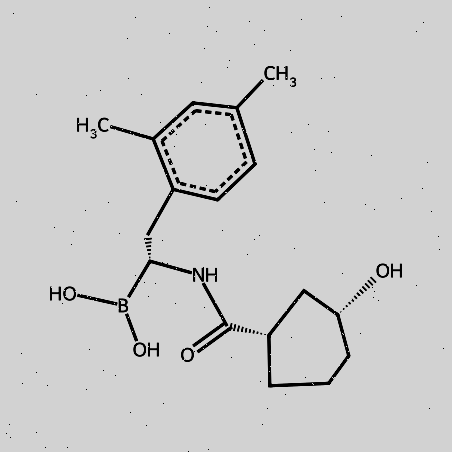 Cc1ccc(C[C@H](NC(=O)[C@H]2CCC[C@@H](O)C2)B(O)O)c(C)c1